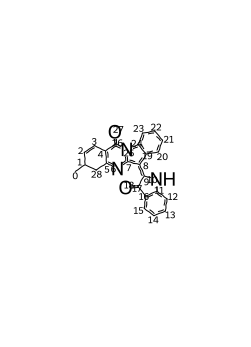 CC1C=Cc2c(nc3/c(=C4/Nc5ccccc5C4=O)c4ccccc4n3c2=O)C1